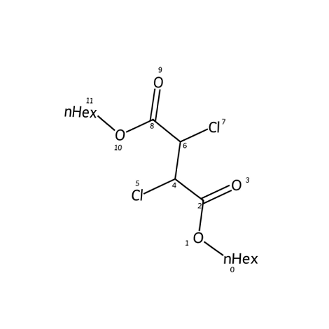 CCCCCCOC(=O)C(Cl)C(Cl)C(=O)OCCCCCC